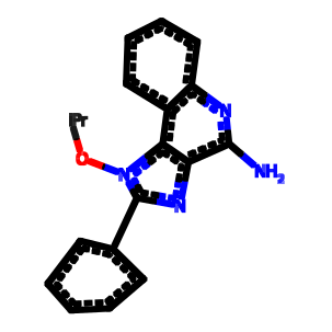 CC(C)On1c(-c2ccccc2)nc2c(N)nc3ccccc3c21